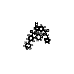 O=C(NCc1cccs1)c1ccc2[nH]nc(NC(=O)c3ccc(N4CCOCC4)cc3N3CCOCC3)c2c1